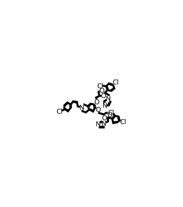 Clc1ccc(/C=C\CN2CCc3cc(OCC4COC(Cn5ccnc5)(c5ccc(Cl)cc5Cl)O4)c(OCC4COC(Cn5ccnc5)(c5ccc(Cl)cc5Cl)O4)cc3C2)cc1